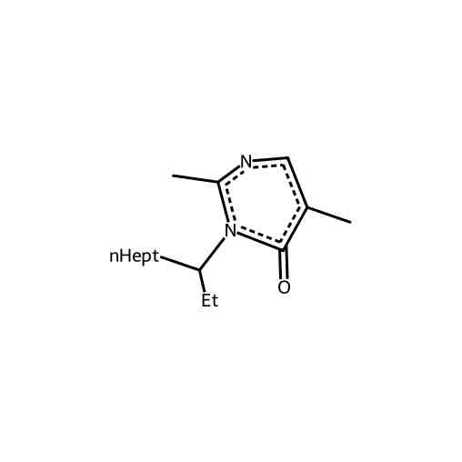 CCCCCCCC(CC)n1c(C)ncc(C)c1=O